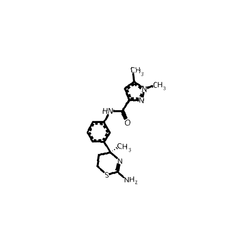 Cc1cc(C(=O)Nc2cccc([C@]3(C)CCSC(N)=N3)c2)nn1C